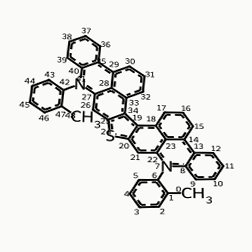 Cc1ccccc1-n1c2ccccc2c2cccc3c4c(cc1c23)sc1cc2c3c(cccc3c14)c1ccccc1n2-c1ccccc1C